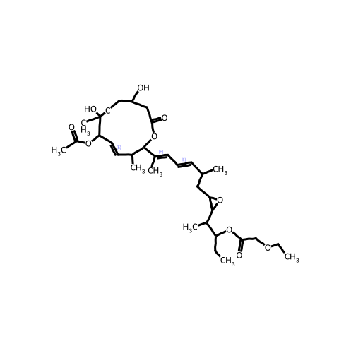 CCOCC(=O)OC(CC)C(C)C1OC1CC(C)/C=C/C=C(\C)C1OC(=O)CC(O)CCC(C)(O)C(OC(C)=O)/C=C/C1C